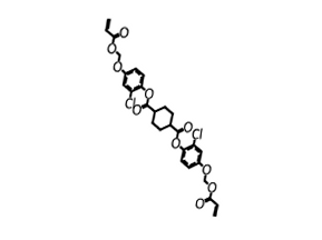 C=CC(=O)OCOc1ccc(OC(=O)C2CCC(C(=O)Oc3ccc(OCOC(=O)C=C)cc3Cl)CC2)c(Cl)c1